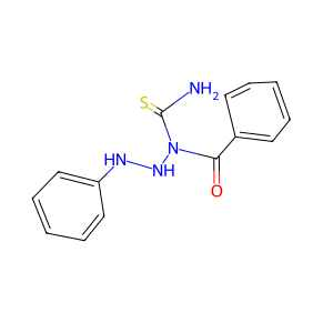 NC(=S)N(NNc1ccccc1)C(=O)c1ccccc1